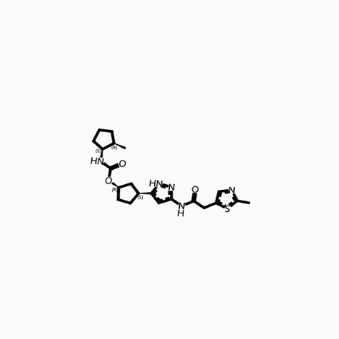 Cc1ncc(CC(=O)Nc2cc([C@H]3CC[C@@H](OC(=O)N[C@H]4CCC[C@H]4C)C3)[nH]n2)s1